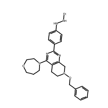 CCNNc1ccc(-c2nc3c(c(N4CCCOCC4)n2)CCN(OCc2ccccc2)C3)cc1